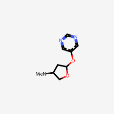 CNC1COC(Oc2cncnc2)C1